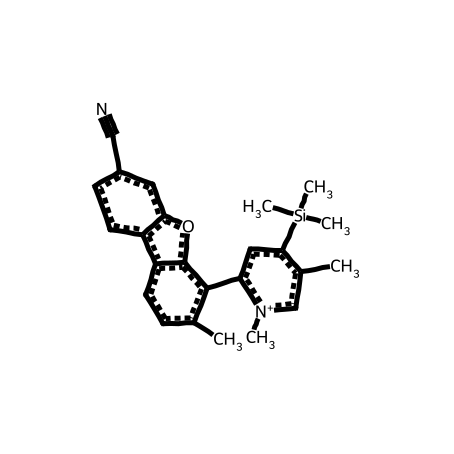 Cc1c[n+](C)c(-c2c(C)ccc3c2oc2cc(C#N)ccc23)cc1[Si](C)(C)C